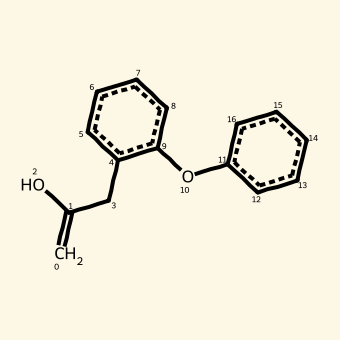 C=C(O)Cc1ccccc1Oc1ccccc1